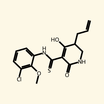 C=CCC1CNC(=O)C(C(=S)Nc2cccc(Cl)c2OC)=C1O